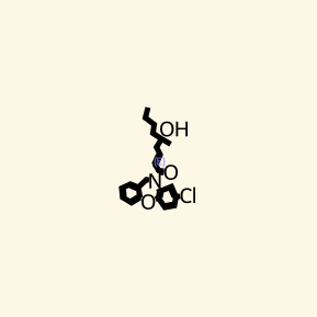 CCCCC(C)(O)C/C=C/C(=O)N1Cc2ccccc2Oc2ccc(Cl)cc21